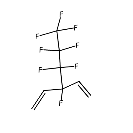 C=CC(F)(C=C)C(F)(F)C(F)(F)C(F)(F)F